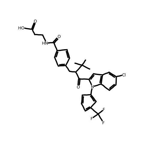 CC(C)(C)C(Cc1ccc(C(=O)NCCC(=O)O)cc1)C(=O)c1cc2cc(Cl)ccc2n1-c1cccc(C(F)(F)F)c1